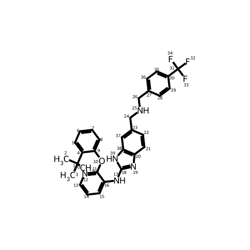 CC(C)(C)c1ccccc1Oc1ncccc1Nc1nc2ccc(CNCc3ccc(C(F)(F)F)cc3)cc2[nH]1